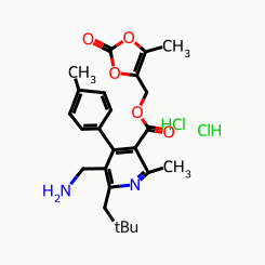 Cc1ccc(-c2c(CN)c(CC(C)(C)C)nc(C)c2C(=O)OCc2oc(=O)oc2C)cc1.Cl.Cl